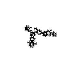 CC(Cn1cnnn1)Oc1cc(-c2cnc(Nc3cn(C4CCC(N5[C@@H]6CC[C@H]5COC6)CC4)nc3OCc3ccnn3C)nc2)ccc1Cl